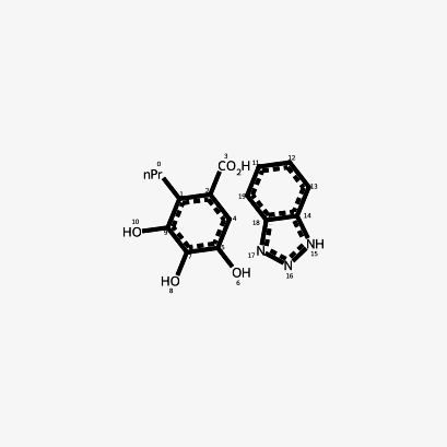 CCCc1c(C(=O)O)cc(O)c(O)c1O.c1ccc2[nH]nnc2c1